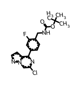 CC(C)(C)OC(=O)NCc1ccc(-c2nc(Cl)cn3nccc23)cc1F